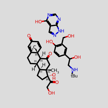 CC(C)(C)NCC(O)c1ccc(O)c(CO)c1.C[C@]12C=CC(=O)C=C1CC[C@@H]1[C@@H]2C(=O)C[C@@]2(C)[C@H]1CC[C@]2(O)C(=O)CO.Oc1ncnc2[nH]ncc12